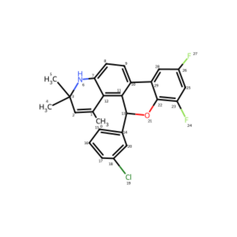 CC1=CC(C)(C)Nc2ccc3c(c21)C(c1cccc(Cl)c1)Oc1c(F)cc(F)cc1-3